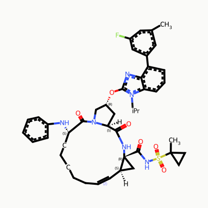 Cc1cc(F)cc(-c2cccc3c2nc(O[C@@H]2C[C@H]4C(=O)N[C@]5(C(=O)NS(=O)(=O)C6(C)CC6)C[C@H]5/C=C\CCCCC[C@H](Nc5ccccc5)C(=O)N4C2)n3C(C)C)c1